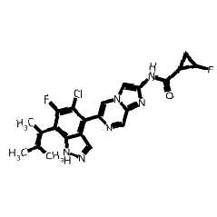 CC(C)=C(C)c1c(F)c(Cl)c(-c2cn3cc(NC(=O)C4CC4F)nc3cn2)c2cn[nH]c12